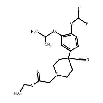 CCOC(=O)CN1CCC(C#N)(c2ccc(OC(F)F)c(OC(C)C)c2)CC1